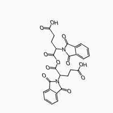 O=C(O)CCC(C(=O)OC(=O)C(CCC(=O)O)N1C(=O)c2ccccc2C1=O)N1C(=O)c2ccccc2C1=O